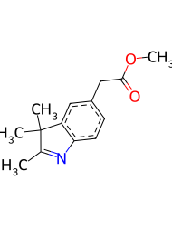 COC(=O)Cc1ccc2c(c1)C(C)(C)C(C)=N2